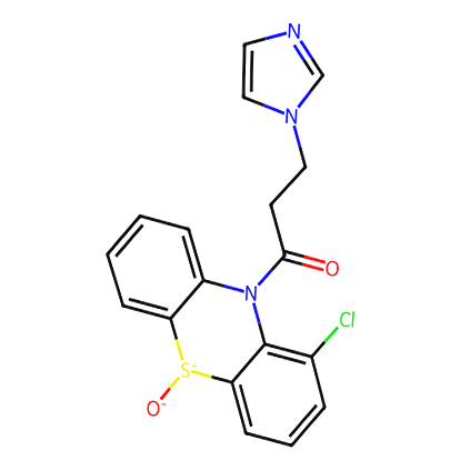 O=C(CCn1ccnc1)N1c2ccccc2[S+]([O-])c2cccc(Cl)c21